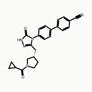 N#Cc1ccc(-c2ccc(-n3c(C[C@@H]4CCN(C(=O)C5CC5)C4)n[nH]c3=O)cc2)cc1